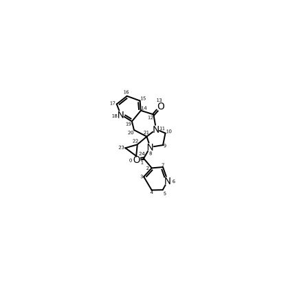 O=C(C1=CCCN=C1)N1CCN2C(=O)c3cccnc3CC12C1CC1